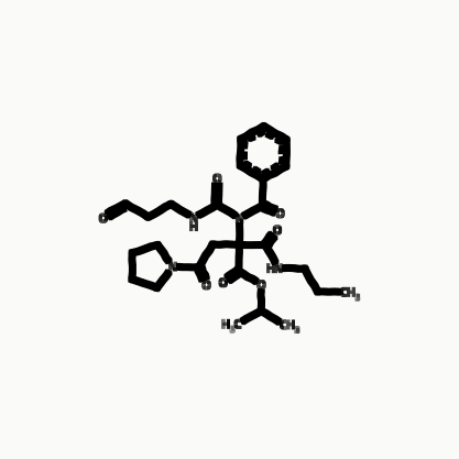 CCCNC(=O)C(CC(=O)N1CCCC1)(C(=O)OC(C)C)N(C(=O)NCCC=O)C(=O)c1ccccc1